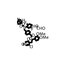 COc1ccc(C(Cc2c(Cl)c[n+]([O-])cc2Cl)OC(=O)c2ccc(CN(C(=O)O[C@H]3CN4CCC3CC4)c3cc(F)ccc3F)cc2)cc1OC.O=CO